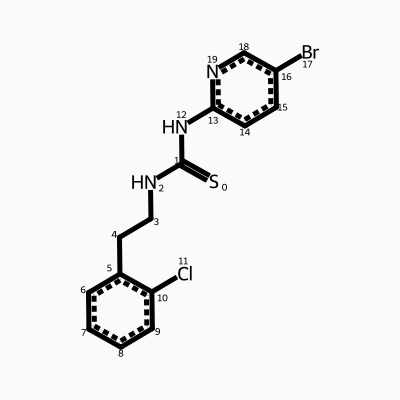 S=C(NCCc1ccccc1Cl)Nc1ccc(Br)cn1